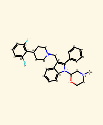 CC(=O)N1CCOC(n2c(-c3ccccc3)c(CN3CCC(c4c(F)cccc4F)CC3)c3ccccc32)C1